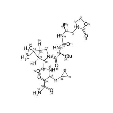 CC(C)[C@@H](CN1CCOC1=O)NC(=O)N[C@H](C(=O)N1C[C@H]2[C@@H]([C@H]1C(=O)NC(CC1CC1)C(=O)C(N)=O)C2(C)C)C(C)(C)C